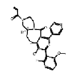 C=CC(=O)N1CCN2C(=O)c3c(-c4ccncc4)nc(-c4c(F)cccc4OC)c(Cl)c3OC[C@H]2C1